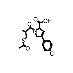 CC(=O)SCC(C)C(=O)N1CC(c2ccc(Cl)cc2)=CC1C(=O)O